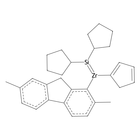 Cc1ccc2c(c1)Cc1c-2ccc(C)[c]1[Zr]([C]1=CC=CC1)=[Si](C1CCCC1)C1CCCC1